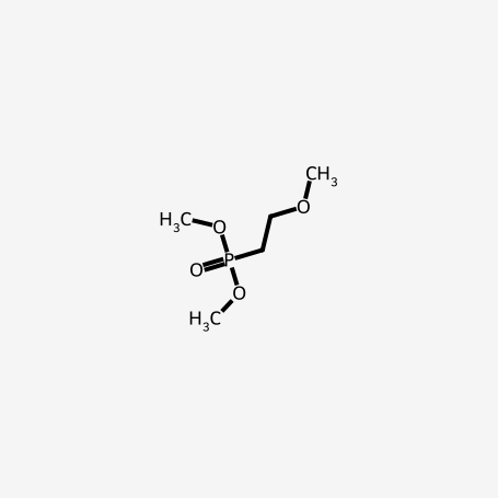 COCCP(=O)(OC)OC